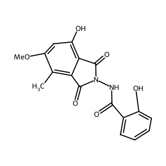 COc1cc(O)c2c(c1C)C(=O)N(NC(=O)c1ccccc1O)C2=O